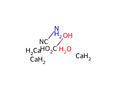 N#CN.O.O=C(O)O.[CaH2].[CaH2].[CaH2]